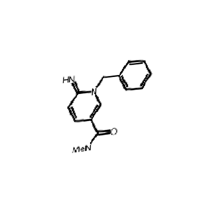 CNC(=O)c1ccc(=N)n(Cc2ccccc2)c1